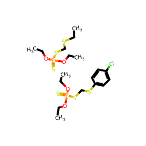 CCOP(=S)(OCC)SCSCC.CCOP(=S)(OCC)SCSc1ccc(Cl)cc1